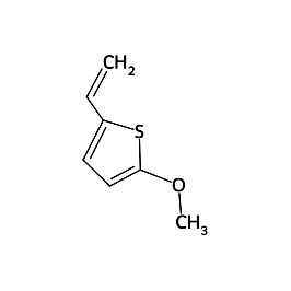 C=Cc1ccc(OC)s1